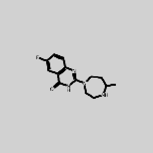 CC1CCN(c2nc3ccc(F)cc3c(=O)[nH]2)CCN1